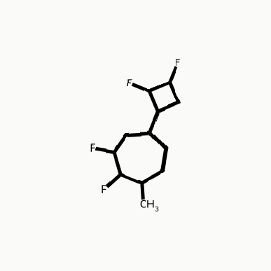 CC1CC[C](C2CC(F)C2F)CC(F)C1F